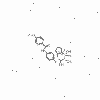 COc1ccc(C(=O)Nc2ccc(F)c([C@]34CCC[C@H]3S(O)(O)N(C)C(=N)N4)c2)nc1